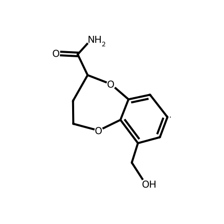 NC(=O)C1CCOc2c(CO)c[c]cc2O1